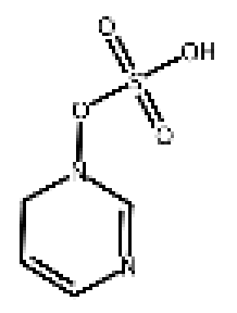 O=S(=O)(O)ON1C=NC=CC1